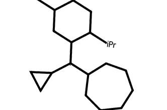 CC1CCC(C(C)C)C([C](C2CCCCCC2)C2CC2)C1